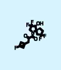 O=C(CC12CC(F)(C1)C2)C(=O)N1CC(F)(F)[C@@H](O)[C@@]12CCC(F)(F)C2